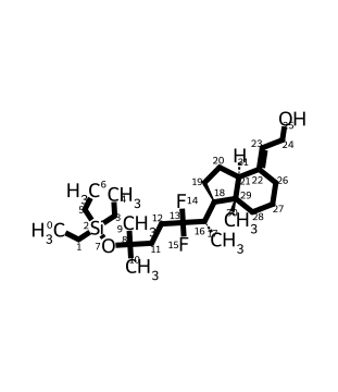 CC[Si](CC)(CC)OC(C)(C)CCC(F)(F)[C@@H](C)[C@H]1CC[C@H]2C(=CCO)CCC[C@]12C